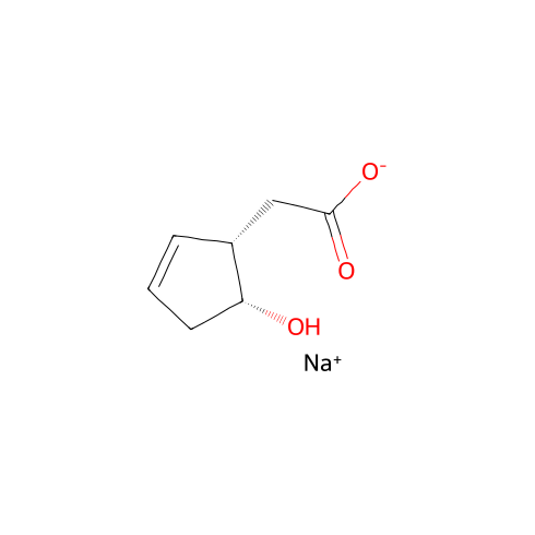 O=C([O-])C[C@H]1C=CC[C@H]1O.[Na+]